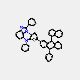 c1ccc(-c2c3ccccc3c(-c3cccc4ccccc34)c3cc(-c4ccc5c(c4)N(c4ccccc4)c4cccc6nc(-c7ccccc7)n-5c46)ccc23)cc1